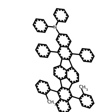 Cc1ccccc1-c1c2c(c(-c3ccccc3C)c3ccccc13)-c1ccc3c4c(ccc-2c14)-c1c-3c(-c2ccccc2)c2cc(N(c3ccccc3)c3ccccc3)ccc2c1-c1ccccc1